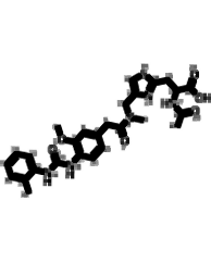 COc1cc(CC(=O)N(C)Cc2csc(CC(NC(C)=O)C(=O)O)n2)ccc1NC(=O)Nc1ccccc1C